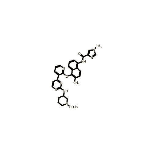 Cc1ccc2c(NC(=O)c3cn(C)cn3)cccc2c1Oc1ncccc1-c1ccnc(NC2CCCN(C(=O)O)C2)n1